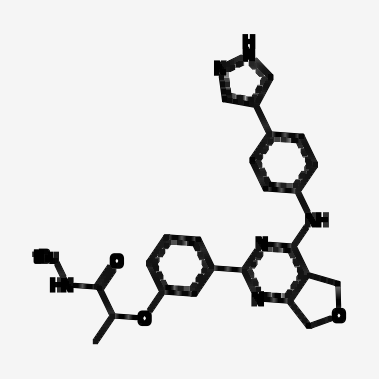 CC(Oc1cccc(-c2nc3c(c(Nc4ccc(-c5cn[nH]c5)cc4)n2)COC3)c1)C(=O)NC(C)(C)C